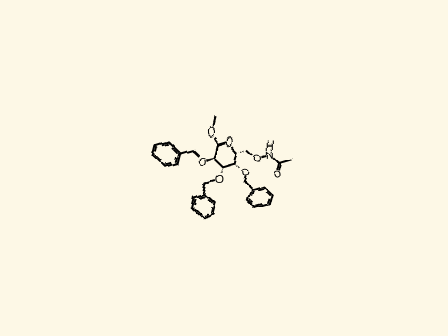 CO[C@H]1O[C@H](CONC(C)=O)[C@H](OCc2ccccc2)[C@H](OCc2ccccc2)[C@H]1OCc1ccccc1